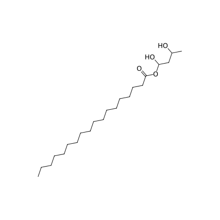 CCCCCCCCCCCCCCCCCC(=O)OC(O)CC(C)O